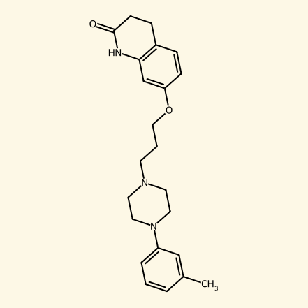 Cc1cccc(N2CCN(CCCOc3ccc4c(c3)NC(=O)CC4)CC2)c1